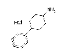 Cl.NC1CCC(c2ccccc2)CC1